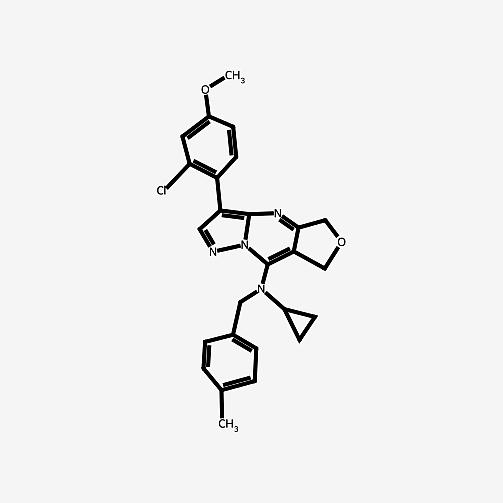 COc1ccc(-c2cnn3c(N(Cc4ccc(C)cc4)C4CC4)c4c(nc23)COC4)c(Cl)c1